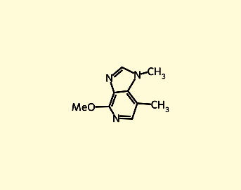 COc1ncc(C)c2c1ncn2C